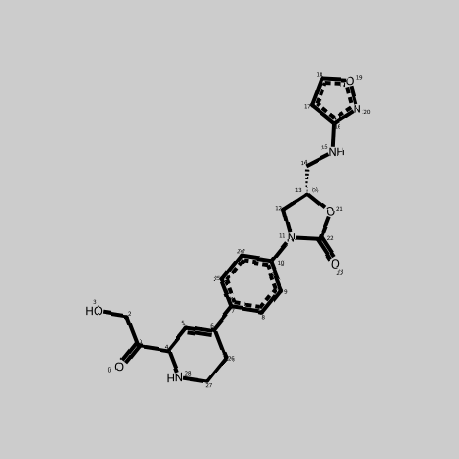 O=C(CO)C1C=C(c2ccc(N3C[C@H](CNc4ccon4)OC3=O)cc2)CCN1